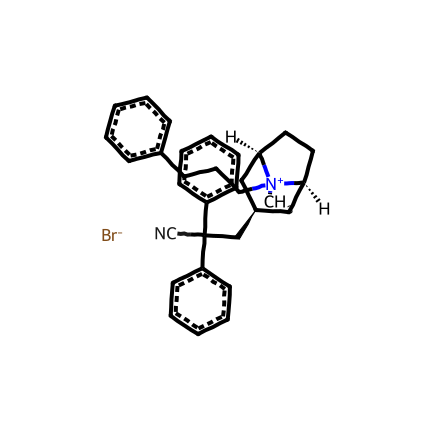 C[N+]1(CCCc2ccccc2)[C@@H]2CC[C@H]1C[C@@H](CC(C#N)(c1ccccc1)c1ccccc1)C2.[Br-]